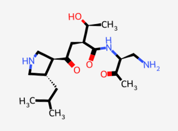 CC(=O)[C@H](CN)NC(=O)[C@@H](CC(=O)[C@@H]1CNC[C@H]1CC(C)C)[C@H](C)O